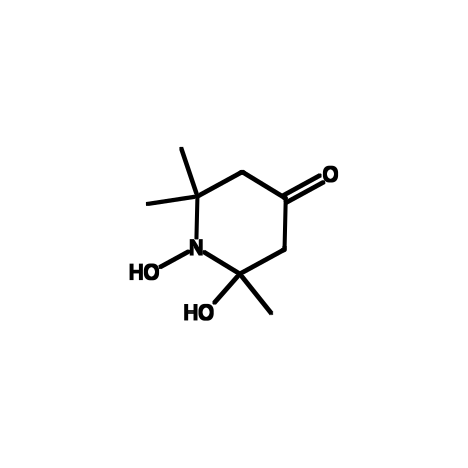 CC1(C)CC(=O)CC(C)(O)N1O